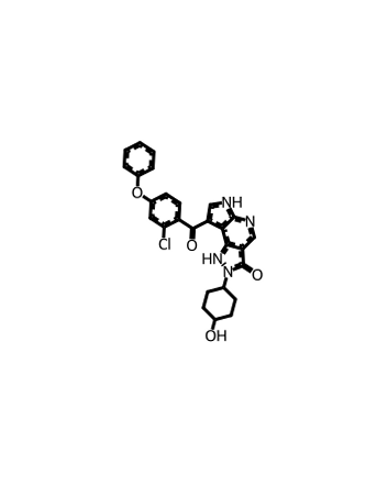 O=C(c1ccc(Oc2ccccc2)cc1Cl)c1c[nH]c2ncc3c(=O)n(C4CCC(O)CC4)[nH]c3c12